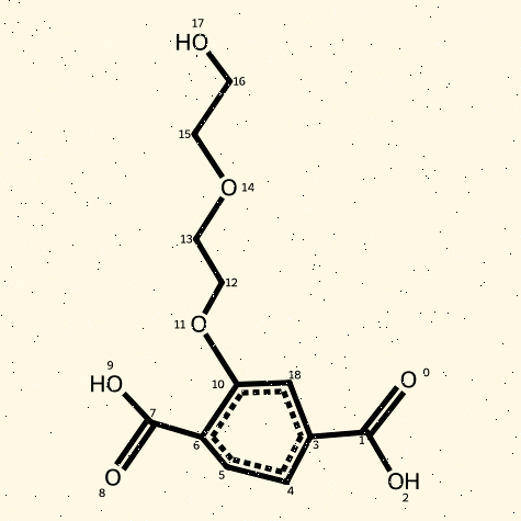 O=C(O)c1ccc(C(=O)O)c(OCCOCCO)c1